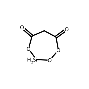 O=C1CC(=O)O[SiH2]OO1